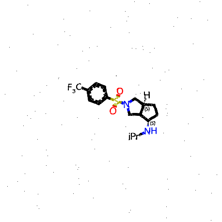 CC(C)N[C@H]1CC[C@@H]2CN(S(=O)(=O)c3ccc(C(F)(F)F)cc3)CC21